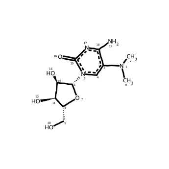 CN(C)c1cn([C@@H]2O[C@H](CO)[C@@H](O)[C@H]2O)c(=O)nc1N